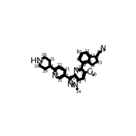 COc1cc2c(nc1-c1cccc3c1CCC3C#N)c(-c1ccc(C3CCNCC3)nc1)nn2C